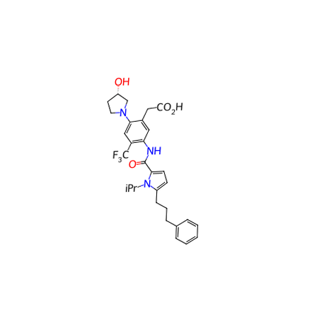 CC(C)n1c(CCCc2ccccc2)ccc1C(=O)Nc1cc(CC(=O)O)c(N2CC[C@H](O)C2)cc1C(F)(F)F